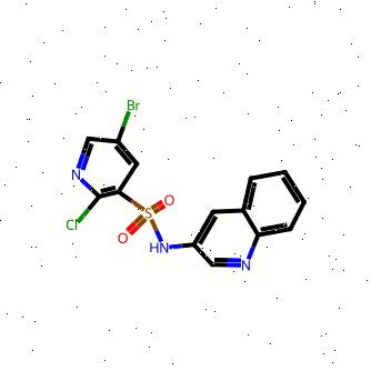 O=S(=O)(Nc1cnc2ccccc2c1)c1cc(Br)cnc1Cl